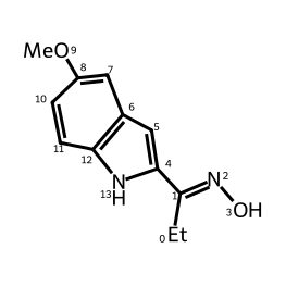 CCC(=NO)c1cc2cc(OC)ccc2[nH]1